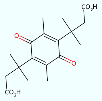 CC1=C(C(C)(C)CC(=O)O)C(=O)C(C)=C(C(C)(C)CC(=O)O)C1=O